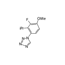 COc1ccc(-n2cnnn2)c(C(C)C)c1F